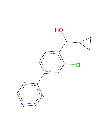 OC(c1ccc(-c2ccncn2)cc1Cl)C1CC1